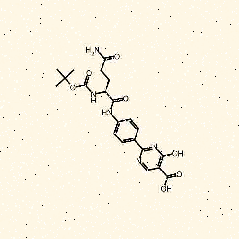 CC(C)(C)OC(=O)N[C@@H](CCC(N)=O)C(=O)Nc1ccc(-c2ncc(C(=O)O)c(O)n2)cc1